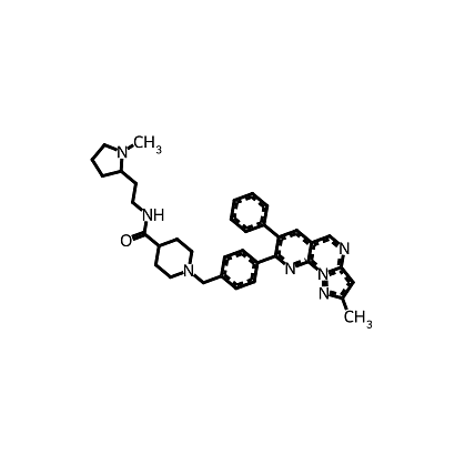 Cc1cc2ncc3cc(-c4ccccc4)c(-c4ccc(CN5CCC(C(=O)NCCC6CCCN6C)CC5)cc4)nc3n2n1